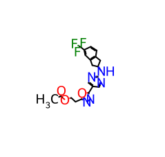 CC(=O)OCCc1nnc(-c2cnc(NC3Cc4ccc(C(F)(F)F)cc4C3)nc2)o1